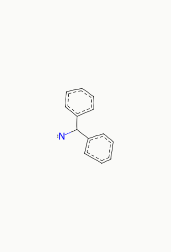 [N]C(c1ccccc1)c1ccccc1